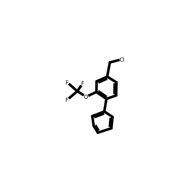 FC(F)(F)Oc1cc(CCl)ccc1-c1ccccc1